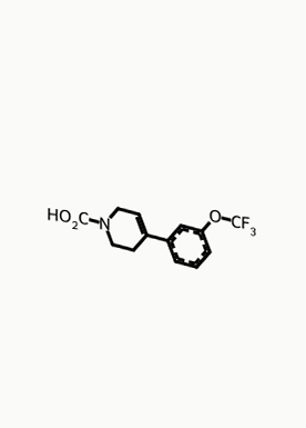 O=C(O)N1CC=C(c2cccc(OC(F)(F)F)c2)CC1